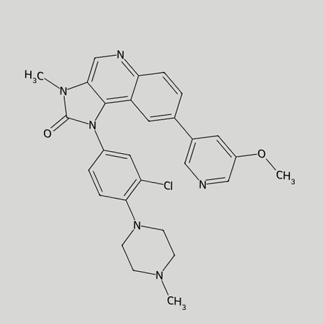 COc1cncc(-c2ccc3ncc4c(c3c2)n(-c2ccc(N3CCN(C)CC3)c(Cl)c2)c(=O)n4C)c1